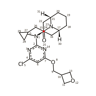 CN(c1nc(Cl)cc(OCC2COC2)n1)[C@@H]1C[C@H]2CCC[C@@H](C1)N2C(=O)CC1CC1